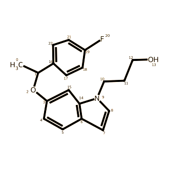 CC(Oc1ccc2ccn(CCCO)c2c1)c1ccc(F)cc1